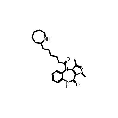 Cc1nn(C)c2c1N(C(=O)CCCCCC1CCCCCN1)c1ccccc1NC2=O